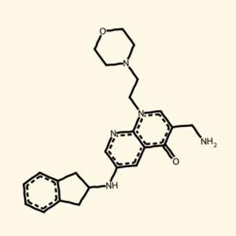 NCc1cn(CCN2CCOCC2)c2ncc(NC3Cc4ccccc4C3)cc2c1=O